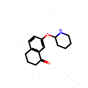 O=C1CCCc2ccc(OC3CCCCN3)cc21